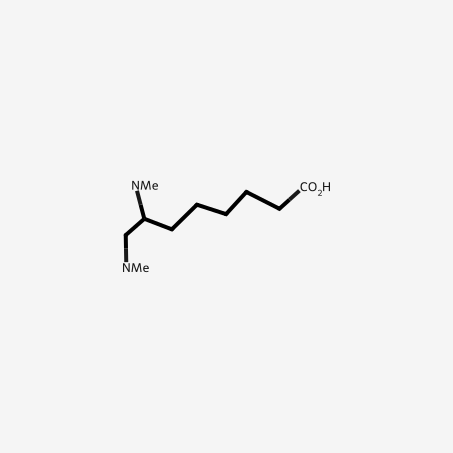 CNCC(CCCCCC(=O)O)NC